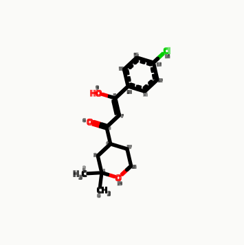 CC1(C)CC(C(=O)C=C(O)c2ccc(Cl)cc2)CCO1